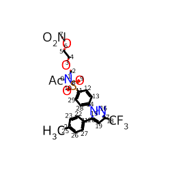 CC(=O)N(COCCO[N+](=O)[O-])S(=O)(=O)c1ccc(-n2nc(C(F)(F)F)cc2-c2ccc(C)cc2)cc1